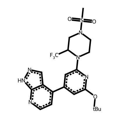 CC(C)(C)Oc1cc(-c2ccnc3[nH]ncc23)cc(N2CCN(S(C)(=O)=O)CC2C(F)(F)F)n1